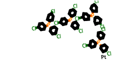 Clc1ccc(P(c2ccc(Cl)cc2)c2ccc(Cl)cc2)cc1.Clc1ccc(P(c2ccc(Cl)cc2)c2ccc(Cl)cc2)cc1.Clc1ccc(P(c2ccc(Cl)cc2)c2ccc(Cl)cc2)cc1.Clc1ccc(P(c2ccc(Cl)cc2)c2ccc(Cl)cc2)cc1.[Pt]